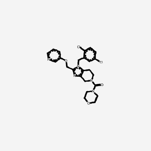 O=C(N1CCOCC1)N1CCc2c(nc(COc3cccnc3)n2Cc2cc(Cl)ccc2Cl)C1